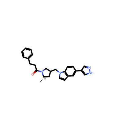 C[C@H]1CC(Cn2ccc3cc(-c4cn[nH]c4)ccc32)CN1C(=O)CCc1ccccc1